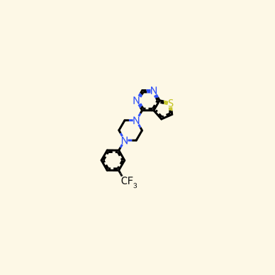 FC(F)(F)c1cccc(N2CCN(c3ncnc4sccc34)CC2)c1